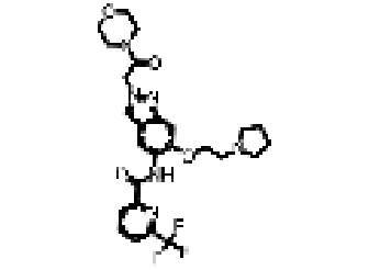 O=C(Nc1cc2cn(CC(=O)N3CCOCC3)nc2cc1OCCN1CCCC1)c1cccc(C(F)(F)F)n1